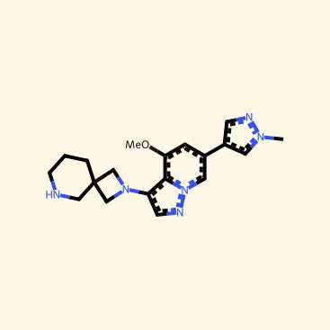 COc1cc(-c2cnn(C)c2)cn2ncc(N3CC4(CCCNC4)C3)c12